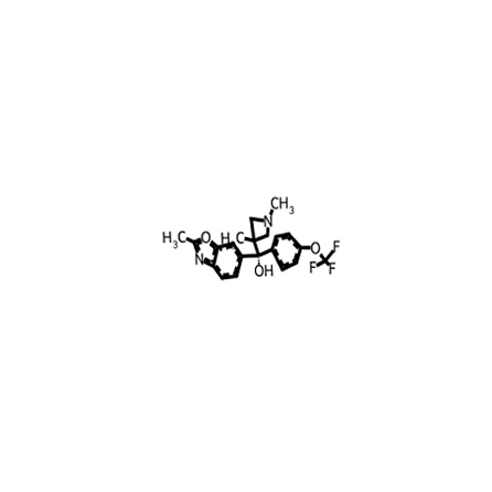 Cc1nc2ccc([C@](O)(c3ccc(OC(F)(F)F)cc3)C3(C)CN(C)C3)cc2o1